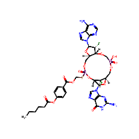 CCCCCC(=O)Oc1ccc(C(=O)OCSP2(=O)OC[C@H]3O[C@@H](n4cnc5c(N)ncnc54)[C@H](F)[C@@H]3OCP(=O)(O)OC[C@H]3O[C@@H](n4cnc5c(=O)[nH]c(N)nc54)[C@H](O2)[C@@H]3F)cc1